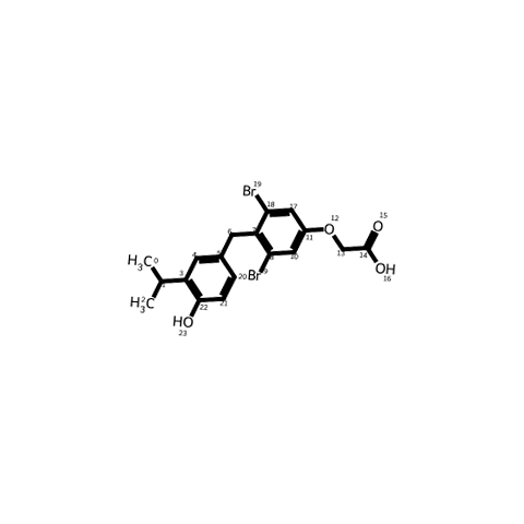 CC(C)c1cc(Cc2c(Br)cc(OCC(=O)O)cc2Br)ccc1O